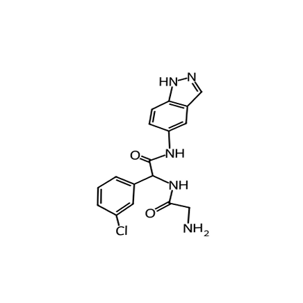 NCC(=O)NC(C(=O)Nc1ccc2[nH]ncc2c1)c1cccc(Cl)c1